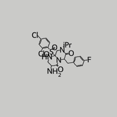 CC(C)N1CC2(S(=O)(=O)c3ccc(Cl)cc3Cl)NCC(N)C(=O)N2C(Cc2ccc(F)cc2)C1=O